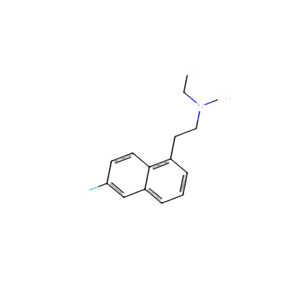 CCN(C)CCc1cccc2cc(F)ccc12